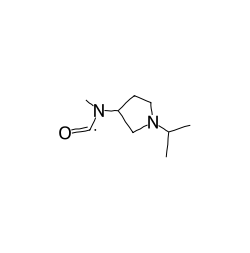 CC(C)N1CCC(N(C)[C]=O)C1